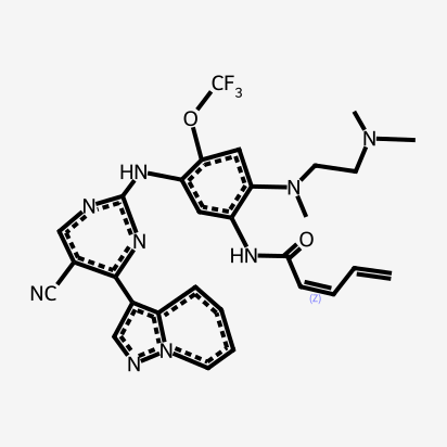 C=C/C=C\C(=O)Nc1cc(Nc2ncc(C#N)c(-c3cnn4ccccc34)n2)c(OC(F)(F)F)cc1N(C)CCN(C)C